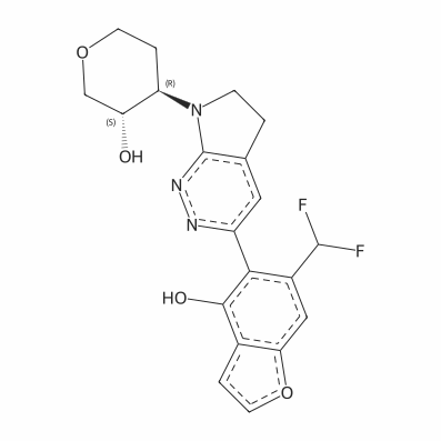 Oc1c(-c2cc3c(nn2)N([C@@H]2CCOC[C@H]2O)CC3)c(C(F)F)cc2occc12